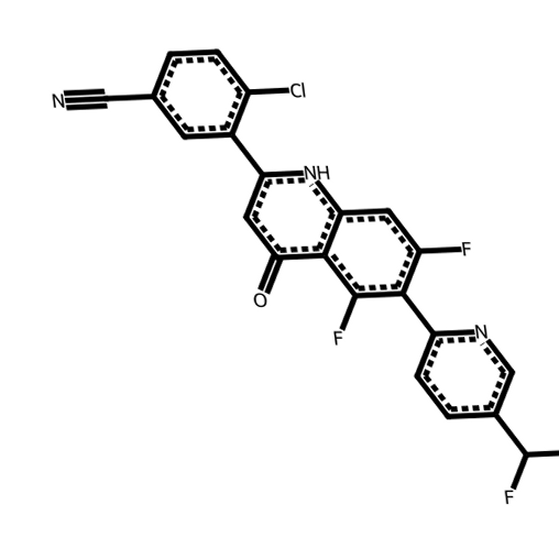 N#Cc1ccc(Cl)c(-c2cc(=O)c3c(F)c(-c4ccc(C(F)F)cn4)c(F)cc3[nH]2)c1